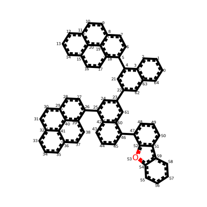 c1ccc2c(-c3ccc4ccc5cccc6ccc3c4c56)cc(-c3cc(-c4ccc5ccc6cccc7ccc4c5c67)c4cccc(-c5cccc6c5oc5ccccc56)c4c3)cc2c1